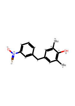 CC(C)(C)c1cc(Cc2cccc([N+]([O-])=S)c2)cc(C(C)(C)C)c1O